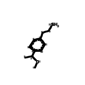 COC(C)c1ccc(CC[SiH3])cc1